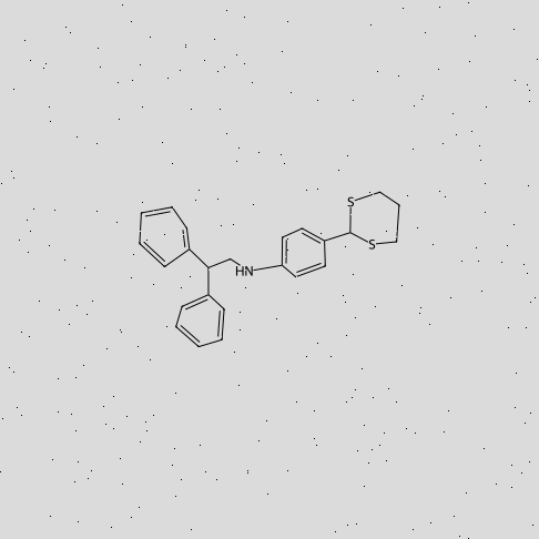 c1ccc(C(CNc2ccc(C3SCCCS3)cc2)c2ccccc2)cc1